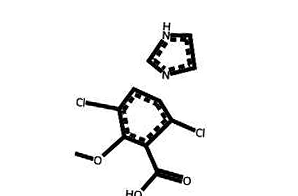 COc1c(Cl)ccc(Cl)c1C(=O)O.c1c[nH]cn1